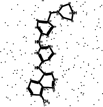 Cc1cccc2c(Nc3ccnc(Nc4ccc(CN5CCNCC5)cc4)n3)cnnc12